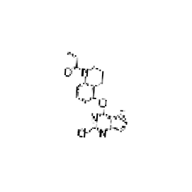 C=CC(=O)N1CCCc2c(Oc3nc(Cl)nc4ccsc34)cccc21